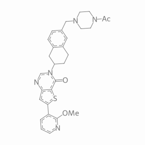 COc1ncccc1-c1cc2ncn(C3CCc4cc(CN5CCN(C(C)=O)CC5)ccc4C3)c(=O)c2s1